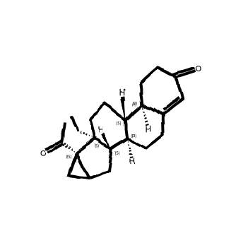 CC[C@]12CC[C@H]3[C@@H](CCC4=CC(=O)CC[C@@H]43)[C@@H]1CC1C[C@]12C(C)=O